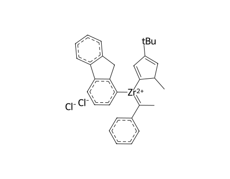 C/[C](c1ccccc1)=[Zr+2](\[C]1=CC(C(C)(C)C)=CC1C)[c]1cccc2c1Cc1ccccc1-2.[Cl-].[Cl-]